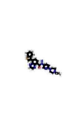 CN1CCN(c2ccc(NC(=O)c3ccc(-c4csc5ccccc45)c4nccnc34)cn2)CC1